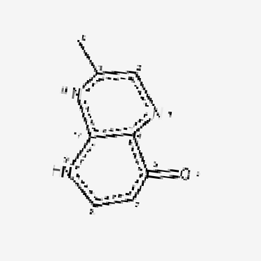 Cc1cnc2c(=O)cc[nH]c2n1